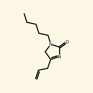 C=CCC1=NC(=O)N(CCCCC)C1